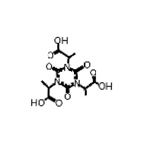 CC(C(=O)O)n1c(=O)n(C(C)C(=O)O)c(=O)n(C(C)C(=O)O)c1=O